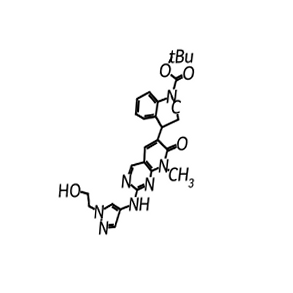 Cn1c(=O)c(C2CCN(C(=O)OC(C)(C)C)c3ccccc32)cc2cnc(Nc3cnn(CCO)c3)nc21